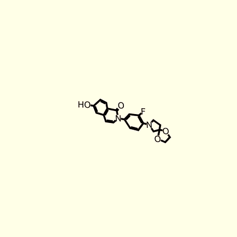 O=c1c2ccc(O)cc2ccn1-c1ccc(N2CCC3(C2)OCCO3)c(F)c1